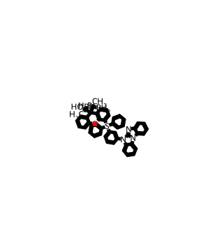 BC(B)(C)C1(C(B)(C)O)c2ccccc2Oc2c1cccc2S(c1ccccc1)(c1ccccc1)c1cccc(-n2c3ccccc3n3c4ccccc4nc23)c1